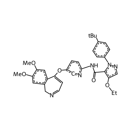 CCOc1cnn(-c2ccc(C(C)(C)C)cc2)c1C(=O)Nc1ccc(OC2=CC=NCc3cc(OC)c(OC)cc32)cn1